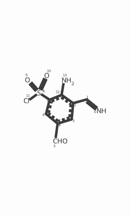 N=Cc1cc(C=O)cc(S(=O)(=O)Cl)c1N